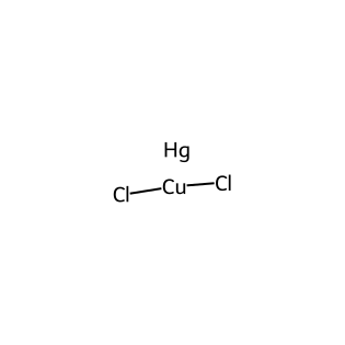 [Cl][Cu][Cl].[Hg]